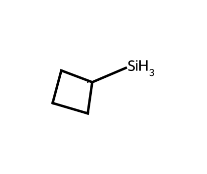 [SiH3][C]1CCC1